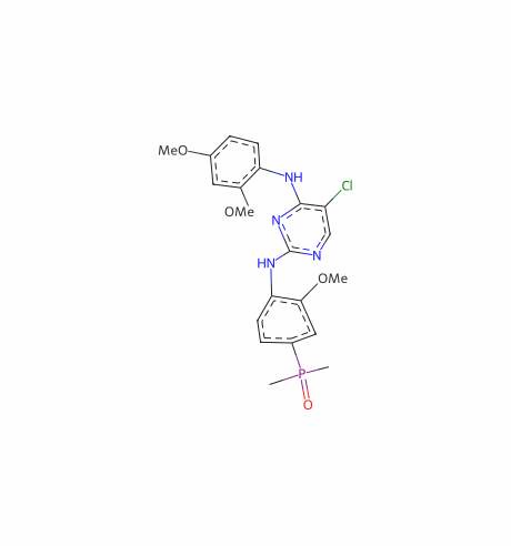 COc1ccc(Nc2nc(Nc3ccc(P(C)(C)=O)cc3OC)ncc2Cl)c(OC)c1